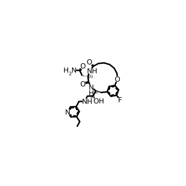 CCc1cncc(CNC[C@@H](O)[C@@H]2Cc3cc(F)cc(c3)OCCCCCC(=O)N[C@@H](CC(N)=O)C(=O)N2)c1